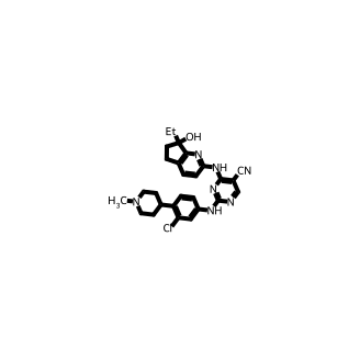 CCC1(O)CCc2ccc(Nc3nc(Nc4ccc(C5CCN(C)CC5)c(Cl)c4)ncc3C#N)nc21